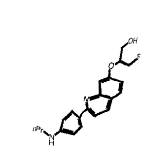 CCCNc1ccc(-c2ccc3ccc(OC(CO)CF)cc3n2)cc1